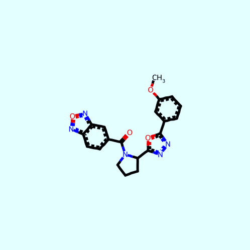 COc1cccc(-c2nnc(C3CCCN3C(=O)c3ccc4nonc4c3)o2)c1